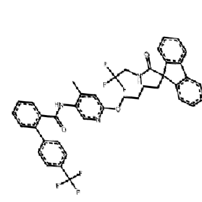 Cc1cc(OCCCCC2(C(=O)NCC(F)(F)F)c3ccccc3-c3ccccc32)ncc1NC(=O)c1ccccc1-c1ccc(C(F)(F)F)cc1